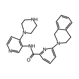 O=C(Nc1cnccc1N1CCNCC1)c1cccc(N2CCc3ccccc3C2)n1